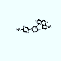 C[C@@H]1CCN(c2cnc(C#N)cn2)C[C@@H]1c1ncc2cnc3[nH]ccc3n12